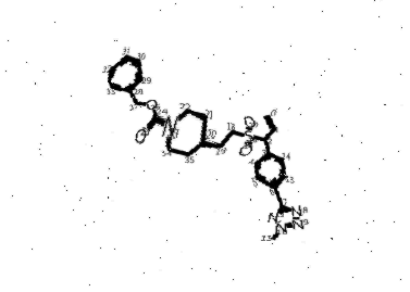 C=CC(c1ccc(-c2nnn(C)n2)cc1)S(=O)(=O)CCC1CCN(C(=O)OCc2ccccc2)CC1